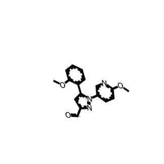 COc1ccc(-n2nc([C]=O)cc2-c2ccccc2OC)cn1